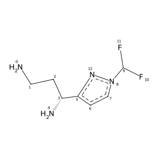 NCC[C@@H](N)c1ccn(C(F)F)n1